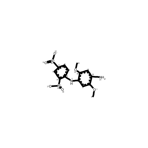 COc1cc(Nc2ccc([N+](=O)[O-])cc2[N+](=O)[O-])c(OC)cc1N